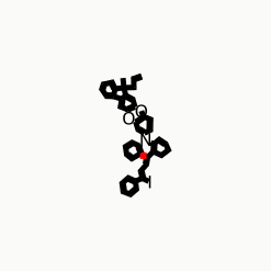 C=CCC1(C)c2ccccc2-c2cc3c(cc21)Oc1ccc(N(C2=C(/C(C)=C/C=C(\I)c4ccccc4)CCC=C2)c2ccccc2)cc1O3